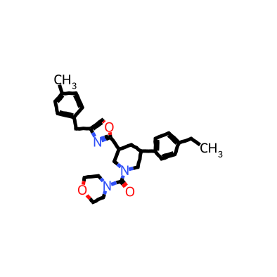 CCc1ccc(C2CC(c3nc(Cc4ccc(C)cc4)co3)CN(C(=O)N3CCOCC3)C2)cc1